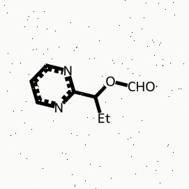 CCC(O[C]=O)c1ncccn1